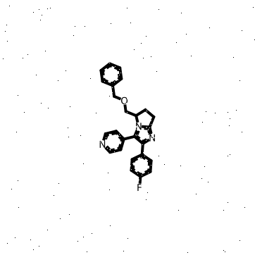 Fc1ccc(-c2nc3n(c2-c2ccncc2)C(COCc2ccccc2)CC3)cc1